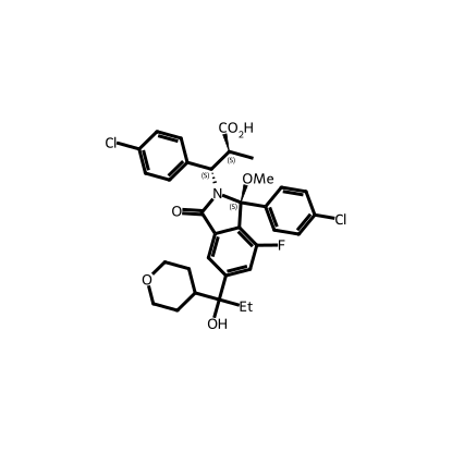 CCC(O)(c1cc(F)c2c(c1)C(=O)N([C@H](c1ccc(Cl)cc1)[C@H](C)C(=O)O)[C@]2(OC)c1ccc(Cl)cc1)C1CCOCC1